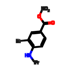 CCc1cc(C(=O)O[N+](=O)[O-])ccc1NC(C)C